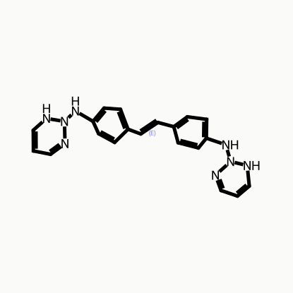 C1=CNN(Nc2ccc(/C=C/c3ccc(NN4N=CC=CN4)cc3)cc2)N=C1